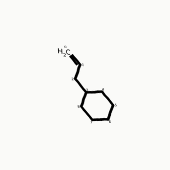 C=CCC1C[CH]CCC1